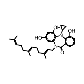 CC(C)=CCC/C(C)=C/CC/C(C)=C/CN1C(=O)c2cccc(O)c2N(C2CC2)c2c(O)cc(O)cc21